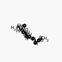 CN(C)CCC(CSc1ccccc1)Nc1ccc(S(=O)(=O)Nc2ncnc3cc(N4CCN(Cc5cccnc5-c5ccc(S(C)(=O)=O)cc5)CC4)ccc23)cc1[N+](=O)[O-]